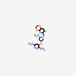 Cc1cc(O[C@@H]2C[C@H](C)N(Cc3nc4c(cc3F)OCCO4)C2)c(C)nn1